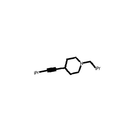 CC(C)C#CC1CCN(CC(C)C)CC1